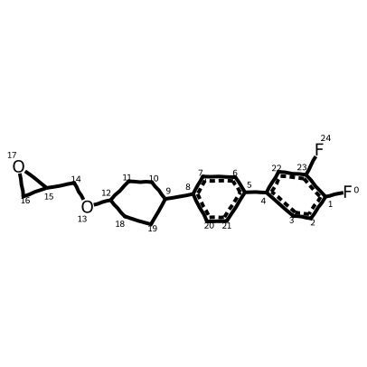 Fc1ccc(-c2ccc(C3CCC(OCC4CO4)CC3)cc2)cc1F